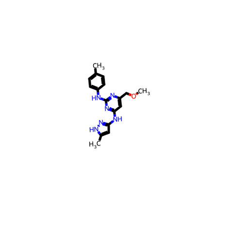 COCc1cc(Nc2cc(C)[nH]n2)nc(Nc2ccc(C)cc2)n1